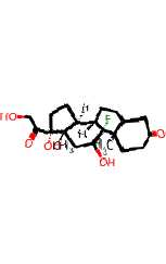 C[C@]12CCC(=O)CC1CC[C@H]1[C@@H]3CC[C@](O)(C(=O)CO)[C@@]3(C)CC(O)[C@@]12F